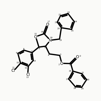 O=C(OCCC1C(c2ccc(Cl)c(Cl)c2)OC(=O)N1Cc1ccccc1)c1ccccc1